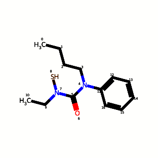 CCCCN(C(=O)N(S)CC)c1ccccc1